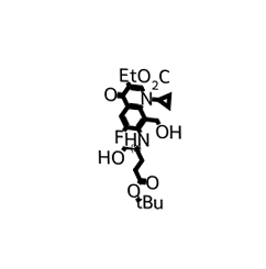 CCOC(=O)c1cn(C2CC2)c2c(CO)c(N[C@H](CO)CCC(=O)OC(C)(C)C)c(F)cc2c1=O